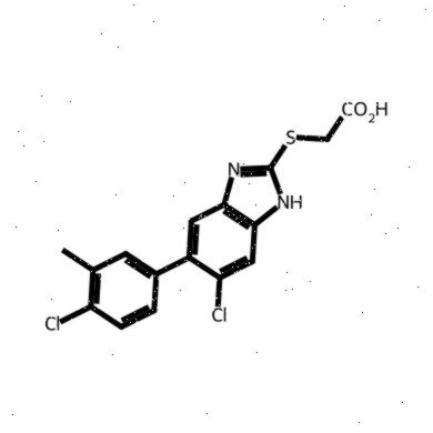 Cc1cc(-c2cc3nc(SCC(=O)O)[nH]c3cc2Cl)ccc1Cl